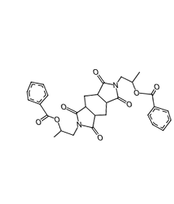 CC(CN1C(=O)C2CC3C(=O)N(CC(C)OC(=O)c4ccccc4)C(=O)C3CC2C1=O)OC(=O)c1ccccc1